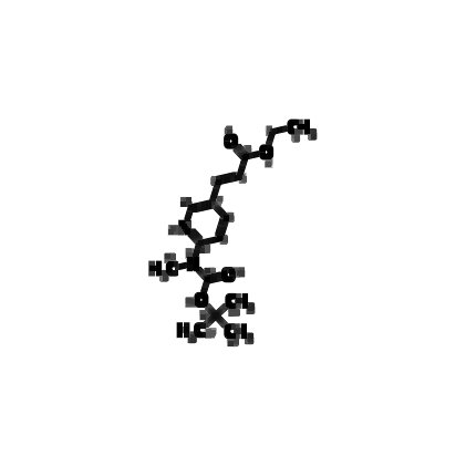 CCOC(=O)C=Cc1ccc(N(C)C(=O)OC(C)(C)C)nc1